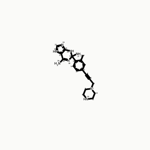 Cc1cc(C#CCN2CCNCC2)ccc1C1(N)N=C(N)c2[nH]cnc2N1